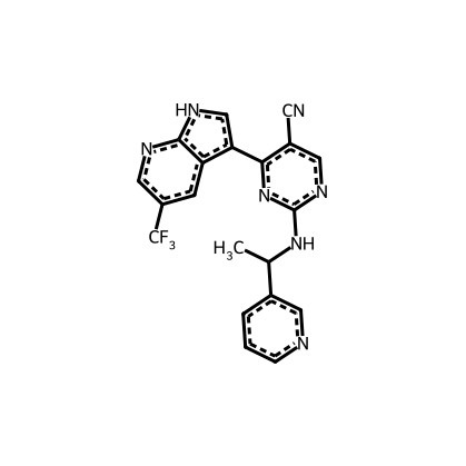 CC(Nc1ncc(C#N)c(-c2c[nH]c3ncc(C(F)(F)F)cc23)n1)c1cccnc1